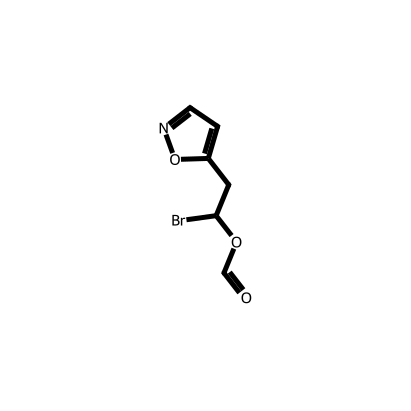 O=COC(Br)Cc1ccno1